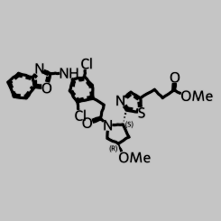 COC(=O)CCc1cnc([C@@H]2C[C@@H](OC)CN2C(=O)Cc2cc(Cl)c(Nc3nc4ccccc4o3)cc2Cl)s1